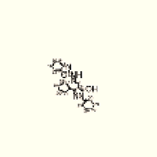 Oc1c(/C=N/Nc2nc3ccccc3o2)c(-c2ccccc2)nn1-c1ccccc1